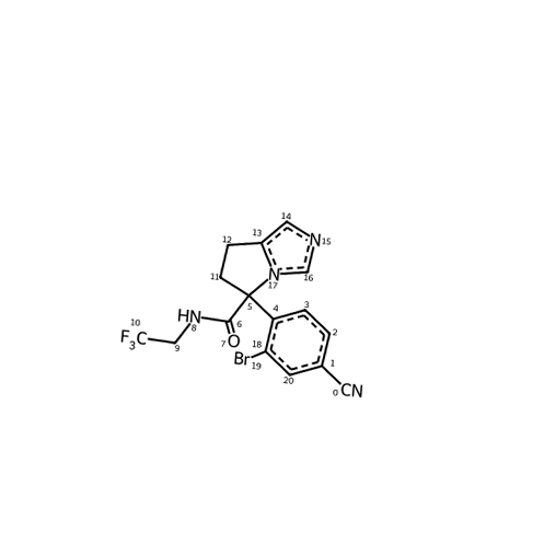 N#Cc1ccc(C2(C(=O)NCC(F)(F)F)CCc3cncn32)c(Br)c1